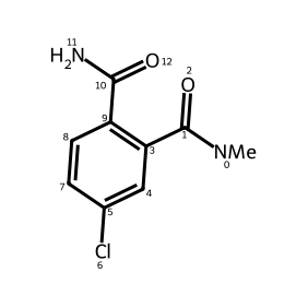 CNC(=O)c1cc(Cl)ccc1C(N)=O